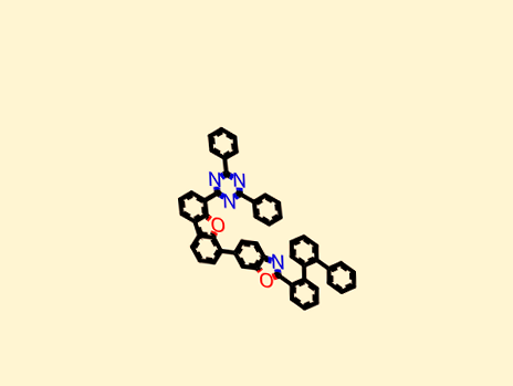 c1ccc(-c2nc(-c3ccccc3)nc(-c3cccc4c3oc3c(-c5ccc6nc(-c7ccccc7-c7ccccc7-c7ccccc7)oc6c5)cccc34)n2)cc1